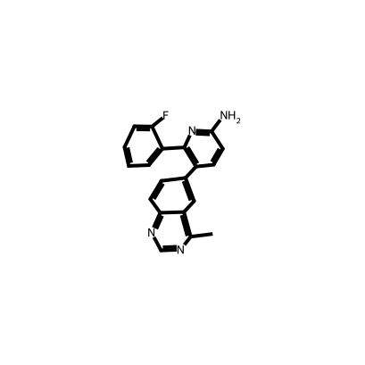 Cc1ncnc2ccc(-c3ccc(N)nc3-c3ccccc3F)cc12